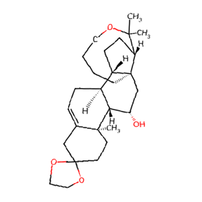 CC1(C)OCCCC[C@]23C[C@H](O)[C@H]4[C@@H](CC=C5CC6(CC[C@@]54C)OCCO6)[C@@H]2CC[C@H]13